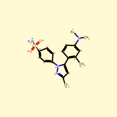 CC(=O)N(C)c1ccc(-c2cc(C(F)(F)F)nn2-c2ccc(S(N)(=O)=O)cc2)c(C)c1